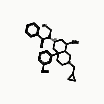 COc1cccc(C23CCN(CC4CC4)CC2C(OC(C)=O)C[C@@H](N(CC(C)C)C(=O)c2ccccc2)C3)c1